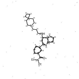 CCN(CC)C(=O)c1cccc(-c2cc(NCCCN3CCC4(CCC4)CC3)c3sccc3n2)c1